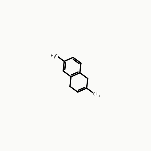 CC1=CCc2cc(C)ccc2[CH]1